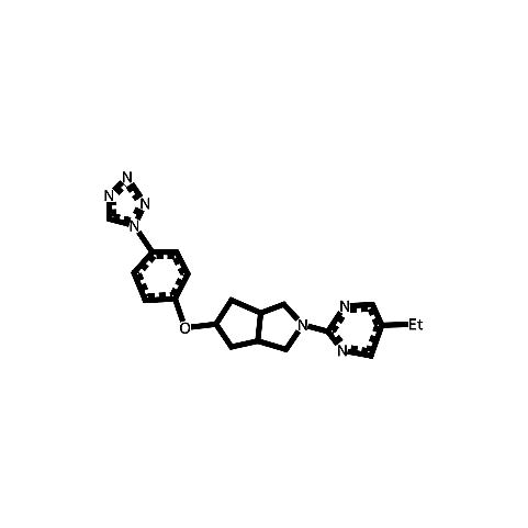 CCc1cnc(N2CC3CC(Oc4ccc(-n5cnnn5)cc4)CC3C2)nc1